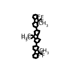 CCC1(CC)c2cc(-c3ccc4c(c3)C(C)(C(F)(F)F)c3ccccc3-4)ccc2-c2ccc(-c3ccc4c(c3)C(C)(C(F)(F)F)c3ccccc3-4)cc21